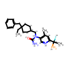 CCC1(Cc2ccccc2)CCC(CN(C(N)=O)c2cnc(C(C)(F)P)cc2C)CC1